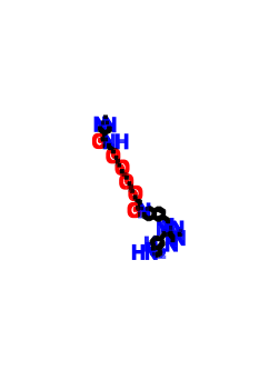 Cc1ncc(C(=O)NCCOCCOCCOCCOCCC(=O)N2CCc3cc(Cn4nc(-c5ccc6[nH]ccc6c5)c5c(N)ncnc54)ccc3C2)cn1